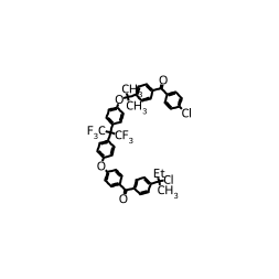 CCC(C)(Cl)c1ccc(C(=O)c2ccc(Oc3ccc(C(c4ccc(OC(C)(C)c5ccc(C(=O)c6ccc(Cl)cc6)cc5)cc4)(C(F)(F)F)C(F)(F)F)cc3)cc2)cc1